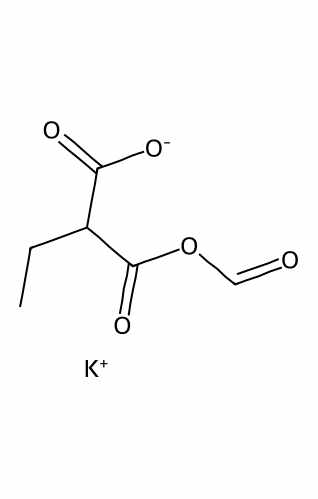 CCC(C(=O)[O-])C(=O)OC=O.[K+]